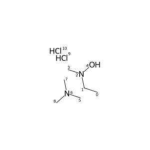 CCN(C)O.CN(C)C.Cl.Cl